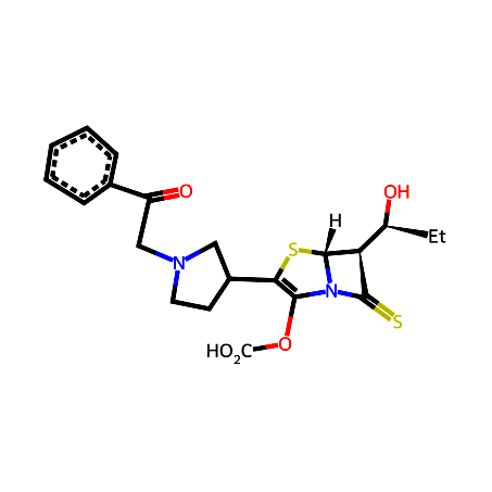 CC[C@H](O)[C@H]1C(=S)N2C(OC(=O)O)=C(C3CCN(CC(=O)c4ccccc4)C3)S[C@H]12